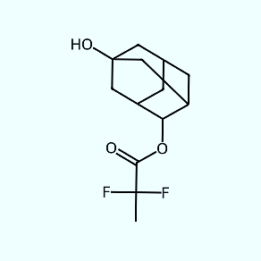 CC(F)(F)C(=O)OC1C2CC3CC1CC(O)(C3)C2